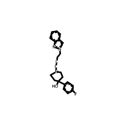 OC1(c2ccc(F)cc2)CCN(CCCCn2cc3ccccc3n2)CC1